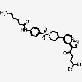 CCC(CC)CCC(=O)c1cnn2ccc(C3CCN(S(=O)(=O)c4ccc(NC(=O)CCCCN)cc4)CC3)cc12